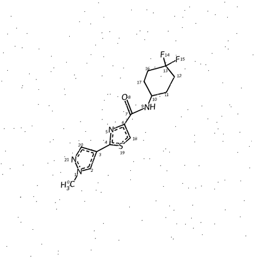 Cn1cc(-c2nc(C(=O)NC3CCC(F)(F)CC3)cs2)cn1